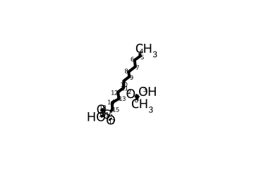 CC(=O)O.CCCCCCCCCCCCS(=O)(=O)O